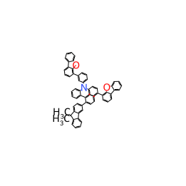 CC1(C)c2ccccc2-c2cc(-c3ccccc3-c3ccccc3N(c3ccc(-c4cccc5c4oc4ccccc45)cc3)c3cccc(-c4cccc5c4oc4ccccc45)c3)ccc21